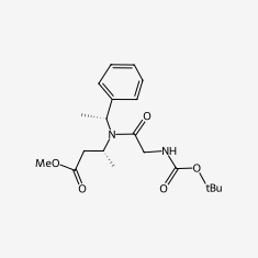 COC(=O)C[C@@H](C)N(C(=O)CNC(=O)OC(C)(C)C)[C@H](C)c1ccccc1